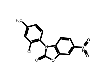 O=c1oc2cc([SH](=O)=O)ccc2n1-c1ccc(C(F)(F)F)cc1Cl